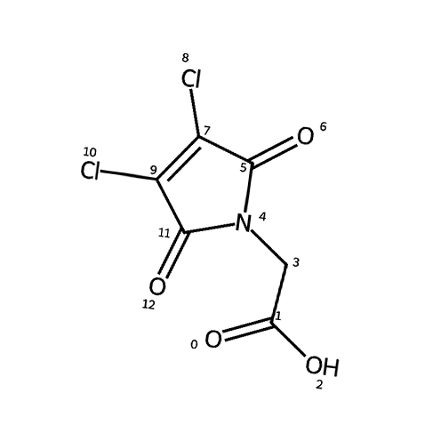 O=C(O)CN1C(=O)C(Cl)=C(Cl)C1=O